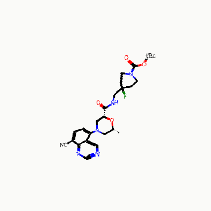 C[C@@H]1CN(c2ccc(C#N)c3ncncc23)C[C@H](C(=O)NCC2(F)CCN(C(=O)OC(C)(C)C)CC2)O1